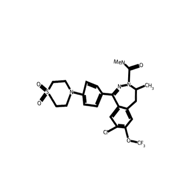 CNC(=O)N1N=C(c2ccc(N3CCS(=O)(=O)CC3)cc2)c2cc(Cl)c(OC(F)(F)F)cc2CC1C